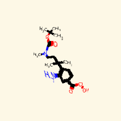 CN(CCC(C)(C)c1ccc(C(=O)OO)cc1N)C(=O)OC(C)(C)C